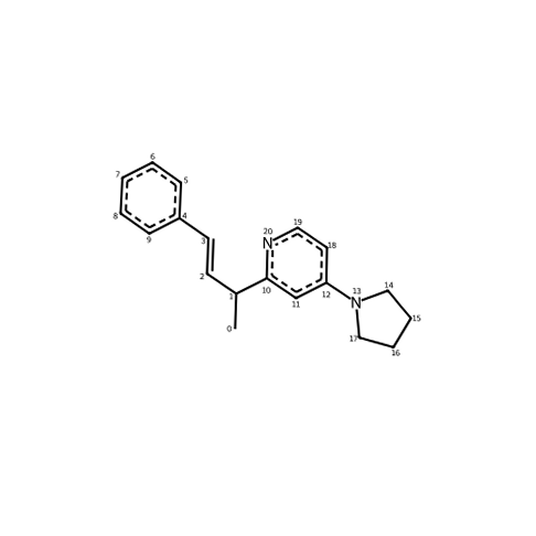 CC(C=Cc1ccccc1)c1cc(N2CCCC2)ccn1